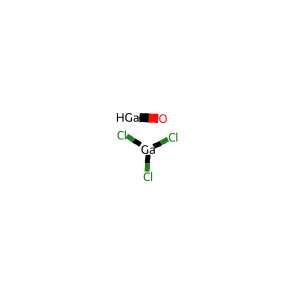 [Cl][Ga]([Cl])[Cl].[O]=[GaH]